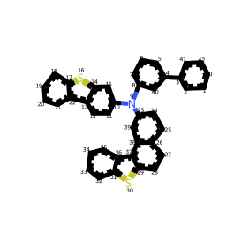 c1ccc(-c2cccc(N(c3ccc4c(c3)sc3ccccc34)c3ccc4ccc5sc6ccccc6c5c4c3)c2)cc1